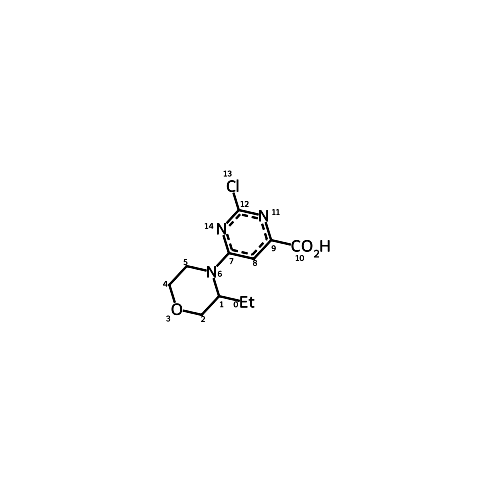 CCC1COCCN1c1cc(C(=O)O)nc(Cl)n1